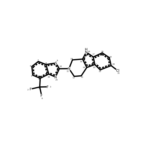 FC(F)(F)c1cccc2sc(N3CCc4c([nH]c5ccc(Cl)cc45)C3)nc12